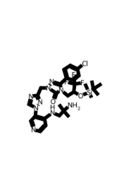 CC(C)(N)CNc1ccncc1-n1cnc(Cn2nc(-c3ccc(Cl)cc3)n(CC(O[Si](C)(C)C(C)(C)C)C(F)(F)F)c2=O)n1